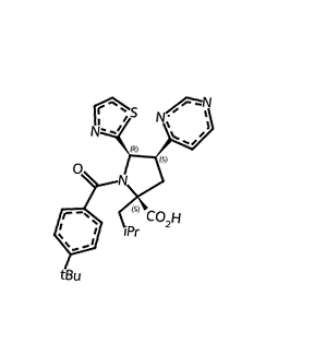 CC(C)C[C@@]1(C(=O)O)C[C@H](c2ccncn2)[C@H](c2nccs2)N1C(=O)c1ccc(C(C)(C)C)cc1